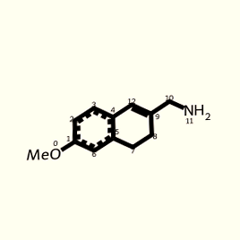 COc1ccc2c(c1)CCC(CN)=C2